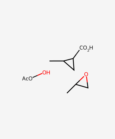 CC(=O)OO.CC1CC1C(=O)O.CC1CO1